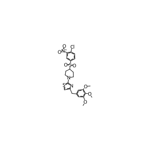 COc1cc(Cc2csc(N3CCC(S(=O)(=O)c4ccc(Cl)c([N+](=O)[O-])c4)CC3)n2)cc(OC)c1OC